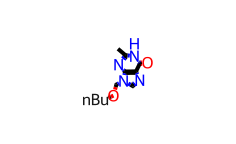 CCCCOCn1cnc2c(=O)[nH]c(C)nc21